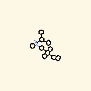 c1ccc(-c2cc(-c3ccccc3)cc(-c3nc4ccccc4n3-c3ccc(-c4c5ccccc5c(-c5ccc6ccccc6c5)c5ccccc45)cc3)c2)cc1